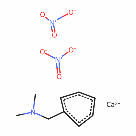 CN(C)Cc1ccccc1.O=[N+]([O-])[O-].O=[N+]([O-])[O-].[Ca+2]